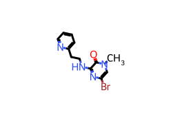 Cn1cc(Br)nc(NCCc2ccccn2)c1=O